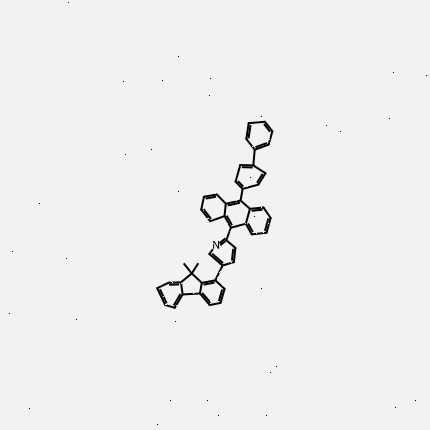 CC1(C)c2ccccc2-c2cccc(-c3ccc(-c4c5ccccc5c(-c5ccc(-c6ccccc6)cc5)c5ccccc45)nc3)c21